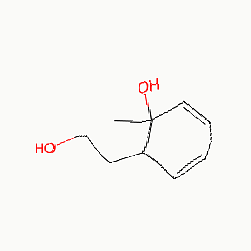 CC1(O)C=CC=CC1CCO